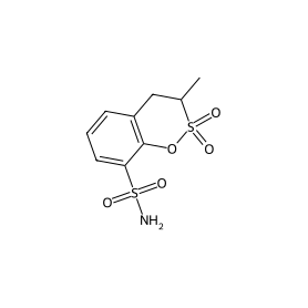 CC1Cc2cccc(S(N)(=O)=O)c2OS1(=O)=O